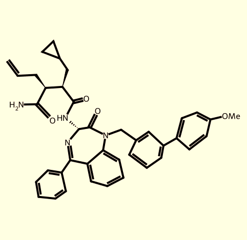 C=CC[C@H](C(N)=O)[C@@H](CC1CC1)C(=O)N[C@H]1N=C(c2ccccc2)c2ccccc2N(Cc2cccc(-c3ccc(OC)cc3)c2)C1=O